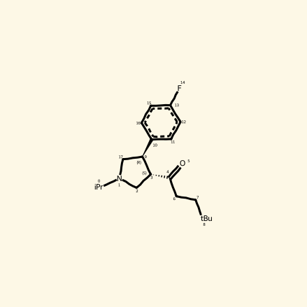 CC(C)N1C[C@@H](C(=O)CCC(C)(C)C)[C@H](c2ccc(F)cc2)C1